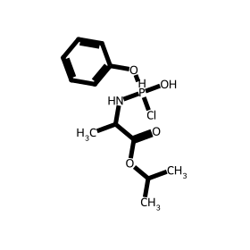 CC(C)OC(=O)C(C)N[PH](O)(Cl)Oc1ccccc1